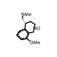 CNC[C@@H]1CCCc2c(OC)cccc21.Cl